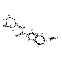 N#Cc1ccc2cc(C(=O)NC3CCCNC3)sc2c1